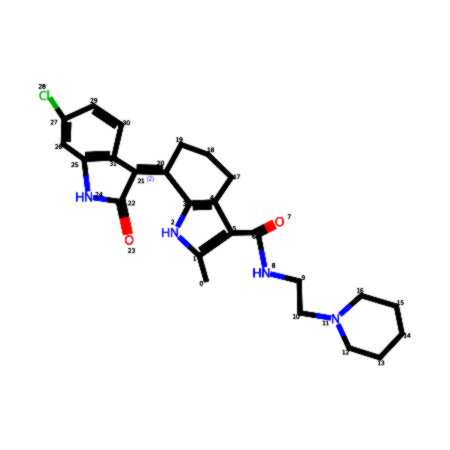 Cc1[nH]c2c(c1C(=O)NCCN1CCCCC1)CCC/C2=C1/C(=O)Nc2cc(Cl)ccc21